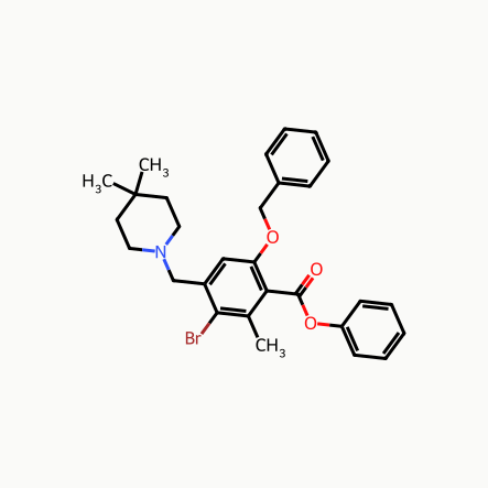 Cc1c(Br)c(CN2CCC(C)(C)CC2)cc(OCc2ccccc2)c1C(=O)Oc1ccccc1